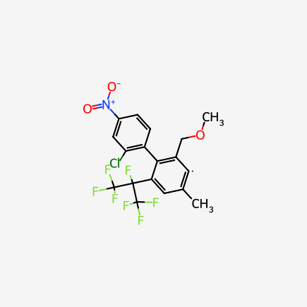 COCc1[c]c(C)cc(C(F)(C(F)(F)F)C(F)(F)F)c1-c1ccc([N+](=O)[O-])cc1Cl